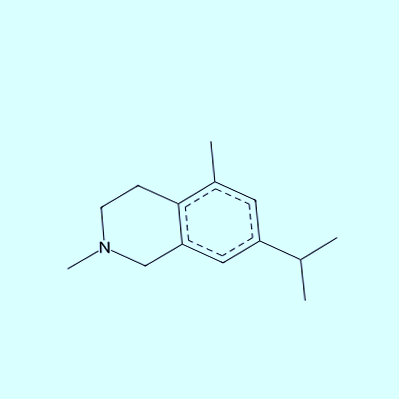 Cc1cc(C(C)C)cc2c1CCN(C)C2